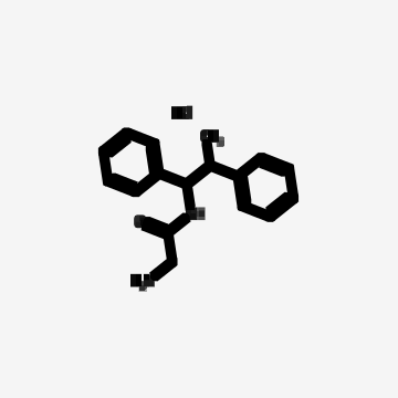 CC(c1ccccc1)C(NC(=O)CN)c1ccccc1.Cl